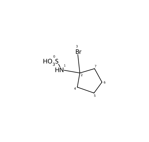 O=S(=O)(O)NC1(Br)CCCC1